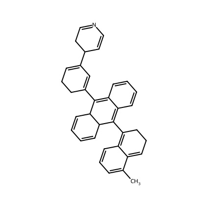 Cc1cccc2c1=CCCC=2C1=c2ccccc2=C(C2=CC(C3C=CN=CC3)=CCC2)C2C=CC=CC12